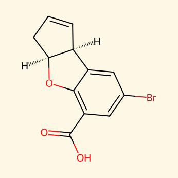 O=C(O)c1cc(Br)cc2c1O[C@H]1CC=C[C@@H]21